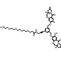 C=C1C[C@H]2C=Nc3cc(OCc4cc(C#CCNC(=O)CCOCCOCCOCCOCCN)cc(COc5cc6c(cc5OC)C(=O)N5CC(=C)C[C@H]5C=N6)c4)c(C)cc3C(=O)N2C1